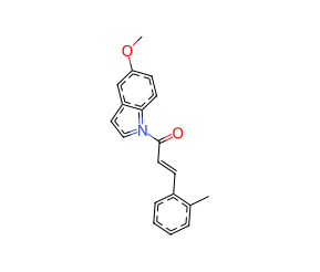 COc1ccc2c(ccn2C(=O)C=Cc2ccccc2C)c1